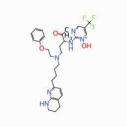 CC(=O)C(CCN(CCCCc1ccc2c(n1)NCCC2)CCOc1ccccc1)Nc1ncc(C(F)(F)F)c[n+]1O